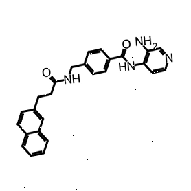 Nc1cnccc1NC(=O)c1ccc(CNC(=O)CCc2ccc3ccccc3c2)cc1